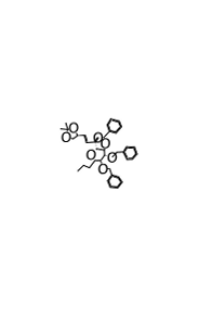 CCCC1O[C@H](C(=O)/C=C/[C@H]2COC(C)(C)O2)[C@@H](OCc2ccccc2)[C@H](OCc2ccccc2)[C@H]1OCc1ccccc1